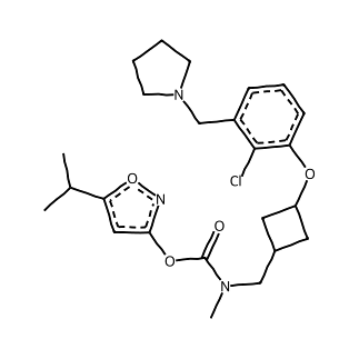 CC(C)c1cc(OC(=O)N(C)CC2CC(Oc3cccc(CN4CCCC4)c3Cl)C2)no1